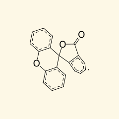 O=C1OC2(c3ccccc3Oc3ccccc32)c2cc[c]cc21